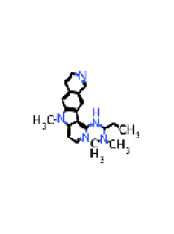 CCC(Nc1nccc2c1c1cc3cnccc3cc1n2C)N(C)C